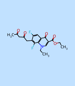 CCOC(=O)c1cn(CC)c2c(F)c(CC(=O)CC(C)=O)c(F)cc2c1=O